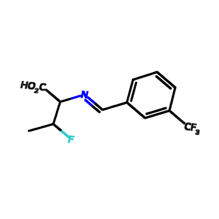 CC(F)C(N=Cc1cccc(C(F)(F)F)c1)C(=O)O